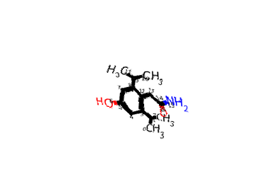 CC(C)c1cc(O)cc(C(C)C)c1CC(N)=O